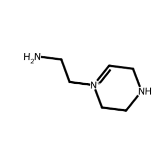 NCC[N+]1=CCNCC1